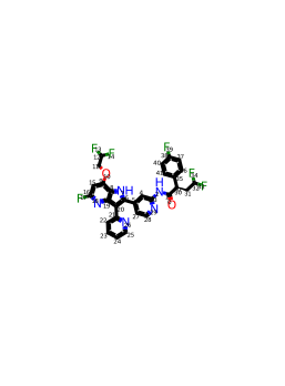 O=C(Nc1cc(-c2[nH]c3c(OCC(F)F)cc(F)nc3c2-c2ccccn2)ccn1)[C@H](CC(F)F)c1ccc(F)cc1